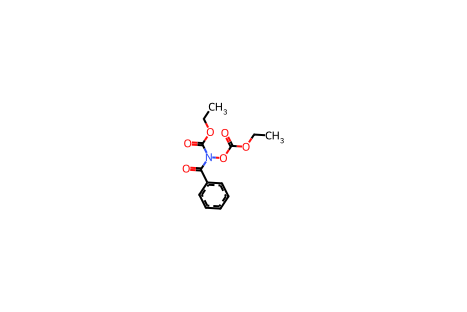 CCOC(=O)ON(C(=O)OCC)C(=O)c1ccccc1